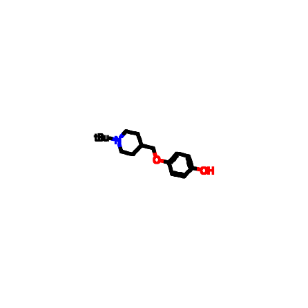 CC(C)(C)N1CCC(COc2ccc(O)cc2)CC1